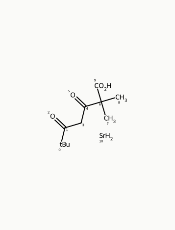 CC(C)(C)C(=O)CC(=O)C(C)(C)C(=O)O.[SrH2]